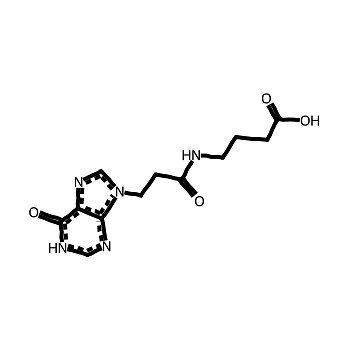 O=C(O)CCCNC(=O)CCn1cnc2c(=O)[nH]cnc21